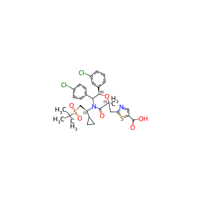 CC(C)(C)S(=O)(=O)C[C@H](C1CC1)N1C(=O)[C@](C)(Cc2ncc(C(=O)O)s2)O[C@H](c2cccc(Cl)c2)C1c1ccc(Cl)cc1